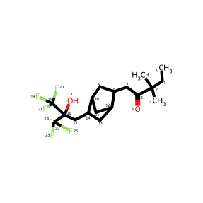 CCC(C)(C)C(=O)CC1CC2CC1CC2CC(O)(C(F)(F)F)C(F)(F)F